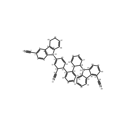 N#Cc1ccc2c(c1)c1c(n2C2=CC(C#N)C(c3ccccc3C3C=CC=CC3n3c4ccccc4c4c(C#N)cccc43)C=C2)C=CCC1